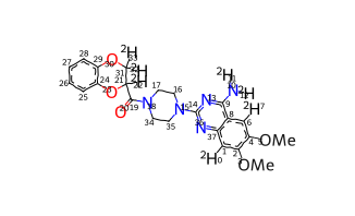 [2H]c1c(OC)c(OC)c([2H])c2c(N([2H])[2H])nc(N3CCN(C(=O)C4([2H])Oc5ccccc5OC4([2H])[2H])CC3)nc12